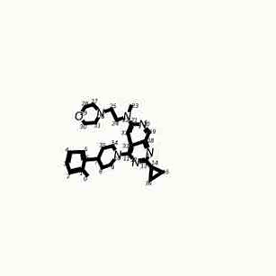 Cc1ccccc1C1CCN(c2nc(C3CC3)nc3cnc(N(C)CCN4CCOCC4)cc23)CC1